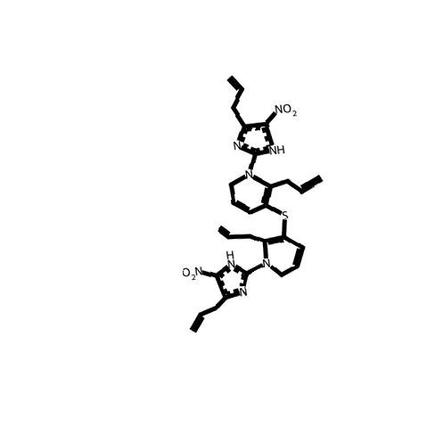 C=CCC1=C(SC2=C(CC=C)N(c3nc(CC=C)c([N+](=O)[O-])[nH]3)CC=C2)C=CCN1c1nc(CC=C)c([N+](=O)[O-])[nH]1